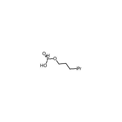 CC(C)CCCO[PH](=O)O